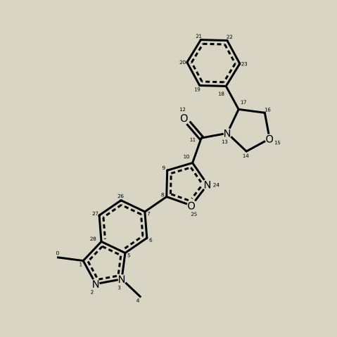 Cc1nn(C)c2cc(-c3cc(C(=O)N4COCC4c4ccccc4)no3)ccc12